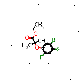 CCOC(=O)C(C)(C)Oc1cc(Br)c(F)cc1F